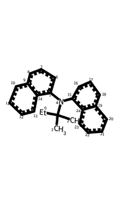 CCC(C)(C)N(c1cccc2ccccc12)c1cccc2ccccc12